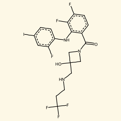 O=C(c1ccc(F)c(F)c1Nc1ccc(I)cc1F)N1CC(O)(CNCCC(F)(F)F)C1